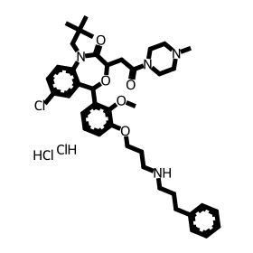 COc1c(OCCCNCCCc2ccccc2)cccc1C1OC(CC(=O)N2CCN(C)CC2)C(=O)N(CC(C)(C)C)c2ccc(Cl)cc21.Cl.Cl